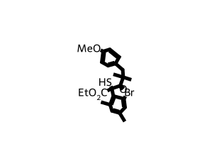 CCOC(=O)C(S)(C(=O)C(C)(C)Cc1ccc(OC)cc1)c1c(C)cc(C)cc1Br